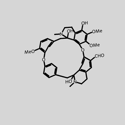 COc1ccc2cc1Oc1ccc(cc1)CC1(O)c3cc(c(C=O)cc3CCN1C)Oc1c(OC)c(OC)c(O)c3c1C(O)(C2)N(C)CC3